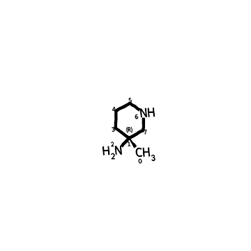 C[C@@]1(N)CCCNC1